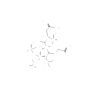 C=C(C)COC(CC)[Si](O[Si](C)(C)C)(O[Si](O[Si](C)(C)C)(O[Si](C)(C)C)O[Si](C)(C)C)C(CC)OCC(=C)C